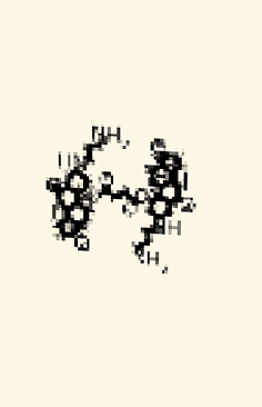 C[C@]12C(OC(=O)/C=C/C(=O)OC3CC(NCCCN)CC4C(=O)C[C@@H]5[C@@H](CC[C@]6(C)C(=O)CC[C@@H]56)[C@@]34C)CC(NCCCN)CC1C(=O)C[C@@H]1[C@H]2CC[C@]2(C)C(=O)CC[C@@H]12